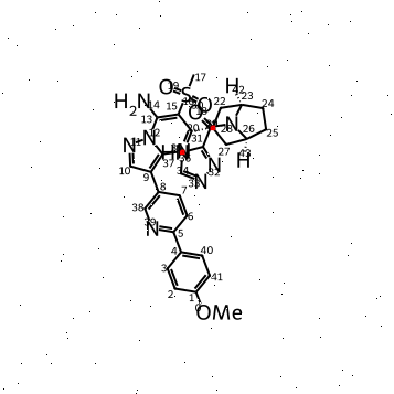 COc1ccc(-c2ccc(-c3cnn4c(N)c(S(C)(=O)=O)c([C@@H]5C[C@H]6CC[C@@H](C5)N6C(=O)c5nnc[nH]5)nc34)cn2)cc1